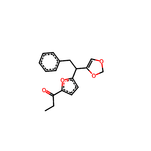 CCC(=O)c1ccc(C(Cc2ccccc2)C2=COCO2)o1